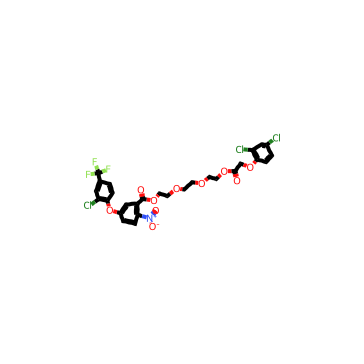 O=C(COc1ccc(Cl)cc1Cl)OCCOCCOCCOC(=O)c1cc(Oc2ccc(C(F)(F)F)cc2Cl)ccc1[N+](=O)[O-]